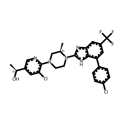 C[C@H](O)c1cnc(N2CCN(c3nc4cc(C(F)(F)F)cc(-c5ccc(Cl)cc5)c4[nH]3)[C@H](C)C2)c(Cl)c1